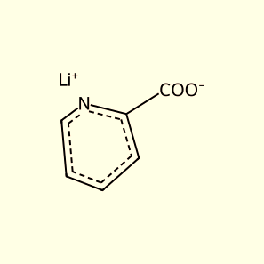 O=C([O-])c1ccccn1.[Li+]